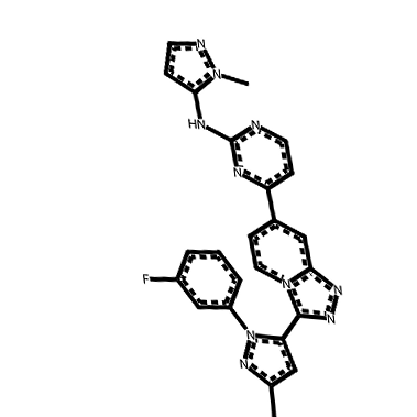 Cc1cc(-c2nnc3cc(-c4ccnc(Nc5ccnn5C)n4)ccn23)n(-c2cccc(F)c2)n1